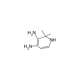 CC1(C)NC=CC(N)=C1N